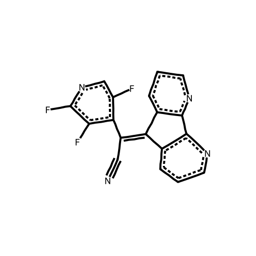 N#CC(=C1c2cccnc2-c2ncccc21)c1c(F)cnc(F)c1F